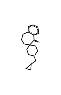 O=C1c2ccccc2CCCC12CCN(CC1CC1)CC2